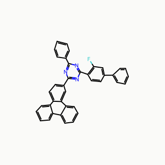 Fc1cc(-c2ccccc2)ccc1-c1nc(-c2ccccc2)nc(-c2ccc3c4ccccc4c4ccccc4c3c2)n1